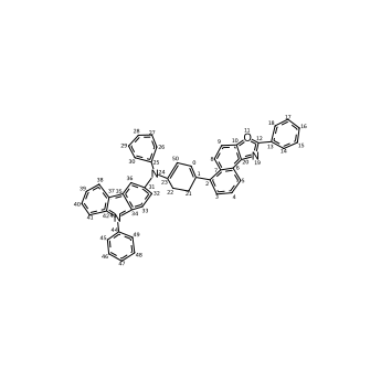 C1=C(c2cccc3c2ccc2oc(-c4ccccc4)nc23)CCC(N(c2ccccc2)c2ccc3c(c2)c2ccccc2n3-c2ccccc2)=C1